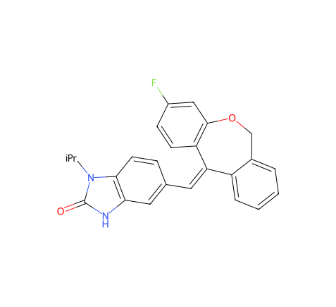 CC(C)n1c(=O)[nH]c2cc(C=C3c4ccccc4COc4cc(F)ccc43)ccc21